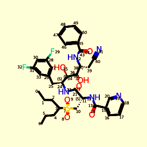 CCCC(CCC)S(=O)(=O)C[C@@H](NC(=O)c1cccnc1)C(=O)N[C@@H](Cc1cc(F)cc(F)c1)[C@@H](O)[C@H](O)[C@@H](CC#N)NC(=O)c1ccccc1